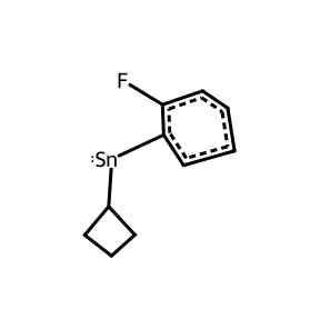 Fc1cccc[c]1[Sn][CH]1CCC1